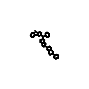 c1ccc(-c2ccc3cc(-c4ccc5ccc(N(c6ccccc6)c6ccc7sc8ccccc8c7c6)cc5c4)ccc3c2)cc1